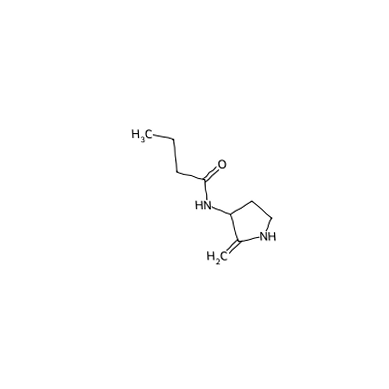 C=C1NCCC1NC(=O)CCC